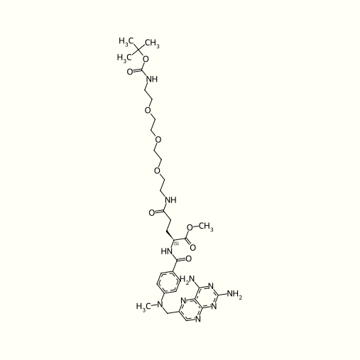 COC(=O)[C@H](CCC(=O)NCCOCCOCCOCCNC(=O)OC(C)(C)C)NC(=O)c1ccc(N(C)Cc2cnc3nc(N)nc(N)c3n2)cc1